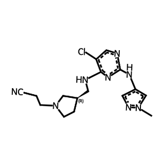 Cn1cc(Nc2ncc(Cl)c(NC[C@H]3CCN(CCC#N)C3)n2)cn1